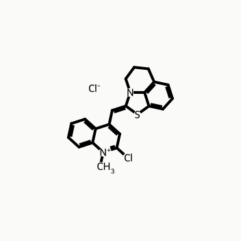 C[n+]1c(Cl)cc(/C=C2\Sc3cccc4c3N2CCC4)c2ccccc21.[Cl-]